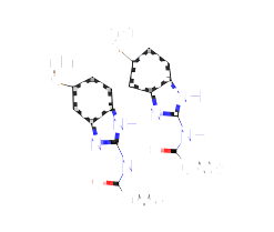 CCCSc1ccc2[nH]c(NC(=O)OC)nc2c1.CCCSc1ccc2[nH]c(NC(=O)OC)nc2c1